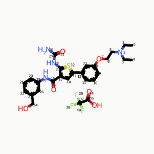 CCN(CC)CCOc1cccc(-c2cc(C(=O)Nc3cccc(CO)c3)c(NC(N)=O)s2)c1.O=C(O)C(F)(F)F